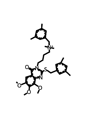 COc1cc2c(=O)n(CCCC[N+](C)(C)Cc3cc(C)cc(C)c3)c(SCc3cc(C)cc(C)c3)nc2c(OC)c1OC